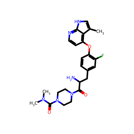 Cc1c[nH]c2nccc(Oc3ccc(CC(N)C(=O)N4CCN(C(=O)N(C)C)CC4)cc3F)c12